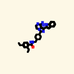 CCc1ccc(C(=O)NCC2CCC(c3nc(-c4cc5ccccc5[nH]4)c4c(N)nccn34)CC2)c(CC)c1